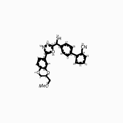 COCC1COc2ccc(-c3nnc(C(S)c4ccc(-c5ccccc5C#N)cc4)o3)cc2O1